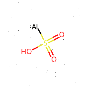 O=[S](=O)(O)[Al]